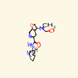 CN(C=O)c1coc2cnc(C(=O)N[C@H]3CN4CCC3CC4)cc12